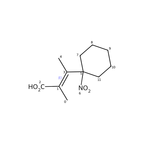 C/C(C(=O)O)=C(/C)C1([N+](=O)[O-])CCCCC1